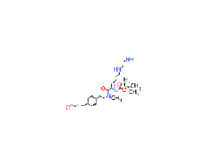 CN(CCc1ccc(CCCC=O)cc1)C(=O)C(CCCCNCC=N)NC(=O)OC(C)(C)C